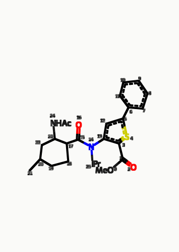 COC(=O)c1sc(-c2ccccc2)cc1N(C(=O)C1CCC(C)CC1NC(C)=O)C(C)C